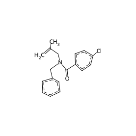 C=C(C)CN(Cc1ccccc1)C(=O)c1ccc(Cl)cc1